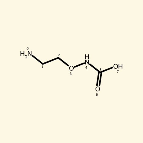 NCCONC(=O)O